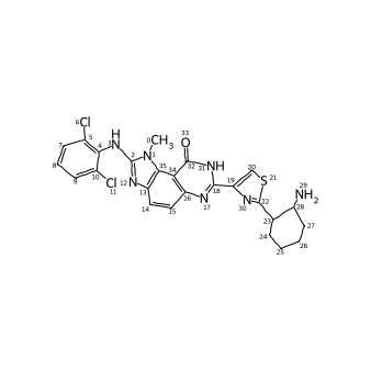 Cn1c(Nc2c(Cl)cccc2Cl)nc2ccc3nc(-c4csc(C5CCCCC5N)n4)[nH]c(=O)c3c21